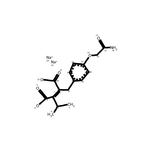 CC(C)/C(C(=O)[O-])=C(\Cc1ccc(OCC(N)=O)cc1)C(=O)[O-].[Na+].[Na+]